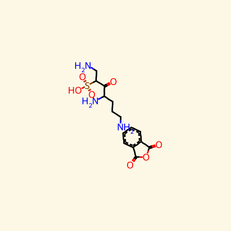 NCCCC(N)C(=O)C(CN)S(=O)(=O)O.O=C1OC(=O)c2ccccc21